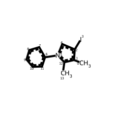 Cc1c(I)cn(-c2ccccc2)c1C